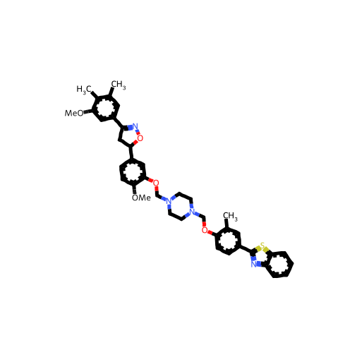 COc1ccc(C2CC(c3cc(C)c(C)c(OC)c3)=NO2)cc1OCN1CCN(COc2ccc(-c3nc4ccccc4s3)cc2C)CC1